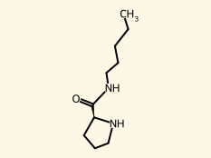 CCCCCNC(=O)[C@@H]1CCCN1